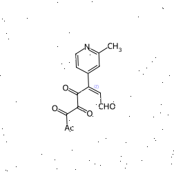 CC(=O)C(=O)C(=O)C(=O)/C(=C\C=O)c1ccnc(C)c1